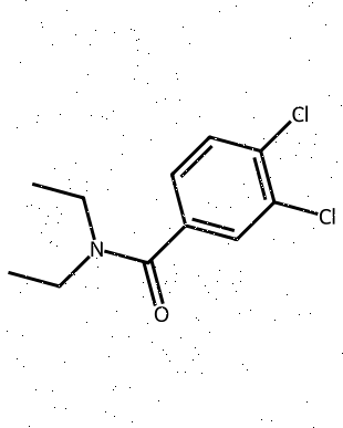 CCN(CC)C(=O)c1ccc(Cl)c(Cl)c1